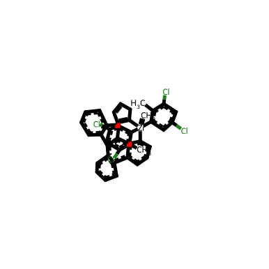 [CH2]=[Zr]([C]1=CC=CC1)([c]1cc(Cl)cc(Cl)c1C)([c]1cc(Cl)cc(Cl)c1C)[c]1cccc2c1c1c(c3ccccc32)-c2ccccc2C1